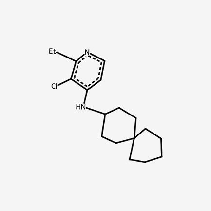 CCc1nccc(NC2CCC3(CCCCC3)CC2)c1Cl